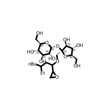 CCCCC(CC)CC(OC[C@@]1(O[C@H]2O[C@H](CO)[C@@H](O)[C@H](O)[C@H]2O)O[C@H](CO)[C@@H](O)[C@@H]1O)C1CO1